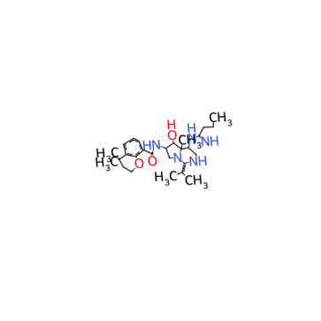 CCCC(=N)NC1CNC(=C(C)C)N2CC(NC(=O)c3cccc4c3OCCC4(C)C)C(O)C12C